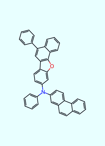 c1ccc(-c2cc3c4ccc(N(c5ccccc5)c5ccc6c(ccc7ccccc76)c5)cc4oc3c3ccccc23)cc1